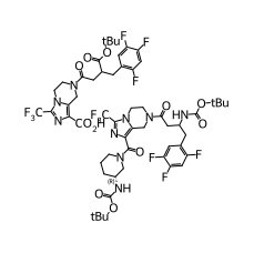 CC(C)(C)OC(=O)C(CC(=O)N1CCn2c(C(F)(F)F)nc(C(=O)O)c2C1)Cc1cc(F)c(F)cc1F.CC(C)(C)OC(=O)NC(CC(=O)N1CCn2c(C(F)(F)F)nc(C(=O)N3CCC[C@@H](NC(=O)OC(C)(C)C)C3)c2C1)Cc1cc(F)c(F)cc1F